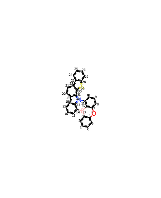 c1ccc2c(c1)Oc1cccc3c1B2c1cccc2c4ccc5c6ccccc6sc5c4n-3c12